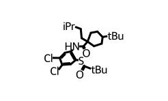 CC(C)CCC1(C(=O)Nc2cc(Cl)c(Cl)cc2SC(=O)C(C)(C)C)CCC(C(C)(C)C)CC1